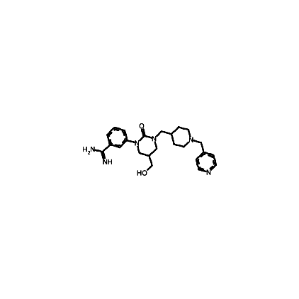 N=C(N)c1cccc(N2CC(CO)CN(CC3CCN(Cc4ccncc4)CC3)C2=O)c1